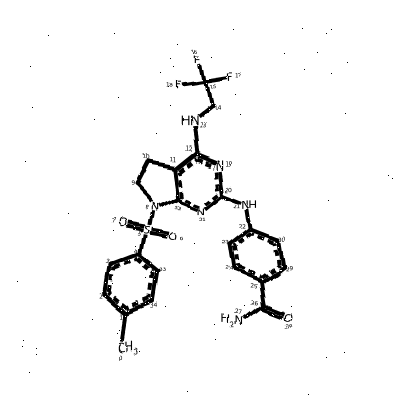 Cc1ccc(S(=O)(=O)N2CCc3c(NCC(F)(F)F)nc(Nc4ccc(C(N)=O)cc4)nc32)cc1